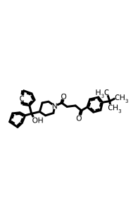 CC(C)(C)c1ccc(C(=O)CCC(=O)N2CCC(C(O)(c3ccccc3)c3ccccc3)CC2)cc1